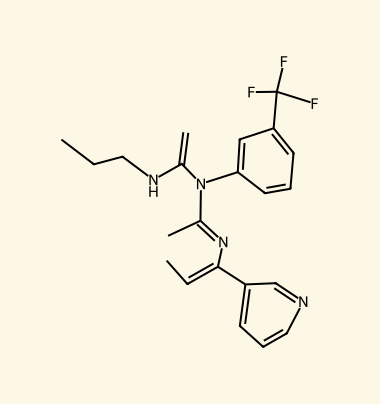 C=C(NCCC)N(/C(C)=N/C(=C\C)c1cccnc1)c1cccc(C(F)(F)F)c1